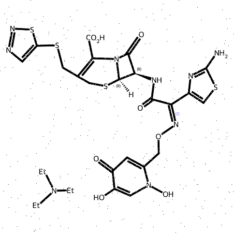 CCN(CC)CC.Nc1nc(/C(=N/OCc2cc(=O)c(O)cn2O)C(=O)N[C@@H]2C(=O)N3C(C(=O)O)=C(CSc4cnns4)CS[C@H]23)cs1